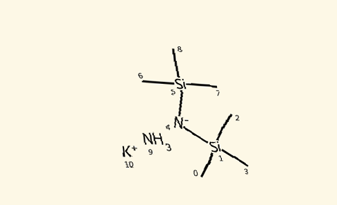 C[Si](C)(C)[N-][Si](C)(C)C.N.[K+]